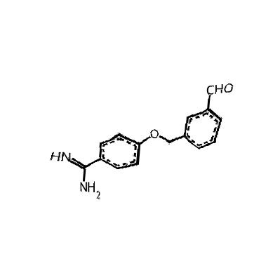 N=C(N)c1ccc(OCc2cccc(C=O)c2)cc1